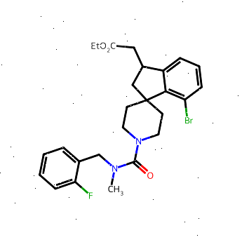 CCOC(=O)CC1CC2(CCN(C(=O)N(C)Cc3ccccc3F)CC2)c2c(Br)cccc21